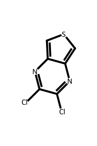 Clc1nc2cscc2nc1Cl